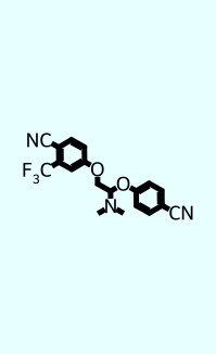 CN(C)C(COc1ccc(C#N)c(C(F)(F)F)c1)Oc1ccc(C#N)cc1